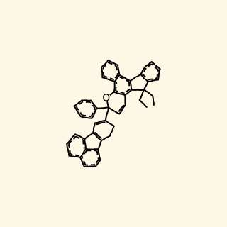 CCC1(CC)c2ccccc2-c2c1c1c(c3ccccc23)OC(C2=CC3=C(CC2)c2cccc4cccc3c24)(c2ccccc2)C=C1